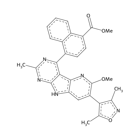 COC(=O)c1ccc(-c2nc(C)nc3[nH]c4cc(-c5c(C)noc5C)c(OC)nc4c23)c2ccccc12